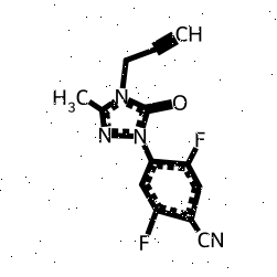 C#CCn1c(C)nn(-c2cc(F)c(C#N)cc2F)c1=O